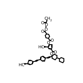 C#Cc1ccc(C#Cc2ccc(C#CC3(OC(=O)c4ccc(OC(=O)C5CCC(C(=O)OCOC(=O)C=C)CC5)c(C#C)c4)CCC(C4CCCCC4)CC3)cc2)cc1